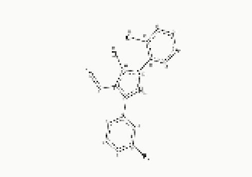 O=Cc1c(-c2cccc(F)c2)nn(-c2ccccc2Cl)c1Cl